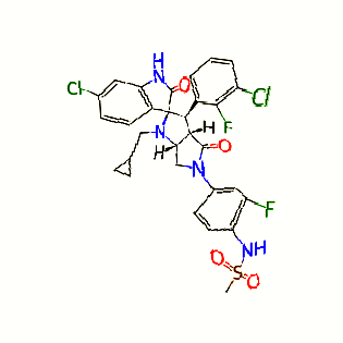 CS(=O)(=O)Nc1ccc(N2C[C@H]3[C@@H](C2=O)[C@H](c2cccc(Cl)c2F)[C@]2(C(=O)Nc4cc(Cl)ccc42)N3CC2CC2)cc1F